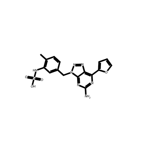 Cc1ccc(Cn2nnc3c(-c4ccco4)nc(N)nc32)cc1NS(=O)(=O)O